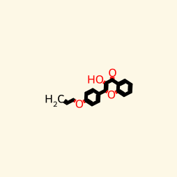 C=CCOc1ccc(-c2oc3ccccc3c(=O)c2O)cc1